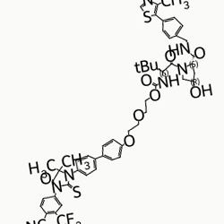 Cc1ncsc1-c1ccc(CNC(=O)[C@@H]2C[C@@H](O)CN2C(=O)[C@@H](NC(=O)OCCOCCOc2ccc(-c3ccc(N4C(=S)N(c5ccc(C#N)c(C(F)(F)F)c5)C(=O)C4(C)C)cc3)cc2)C(C)(C)C)cc1